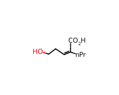 CCCC(=CCCO)C(=O)O